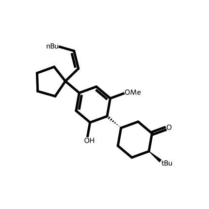 CCCC/C=C\C1(C2=CC(O)C([C@H]3CC[C@H](C(C)(C)C)C(=O)C3)C(OC)=C2)CCCC1